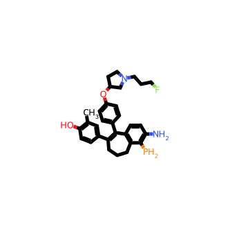 Cc1cc(C2=C(c3ccc(OC4CCN(CCCF)C4)cc3)c3ccc(N)c(P)c3CCC2)ccc1O